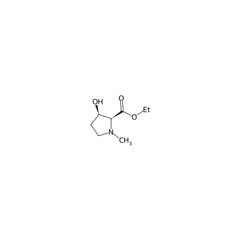 CCOC(=O)[C@@H]1[C@H](O)CCN1C